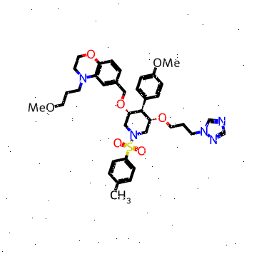 COCCCN1CCOc2ccc(CO[C@H]3CN(S(=O)(=O)c4ccc(C)cc4)C[C@@H](OCCCn4cncn4)[C@@H]3c3ccc(OC)cc3)cc21